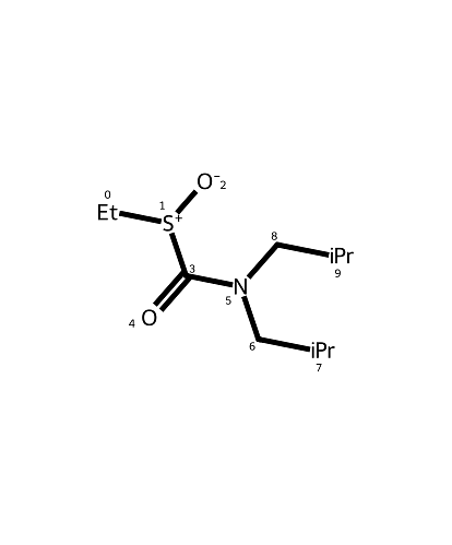 CC[S+]([O-])C(=O)N(CC(C)C)CC(C)C